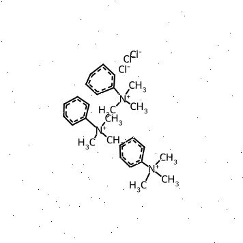 C[N+](C)(C)c1ccccc1.C[N+](C)(C)c1ccccc1.C[N+](C)(C)c1ccccc1.[Cl-].[Cl-].[Cl-]